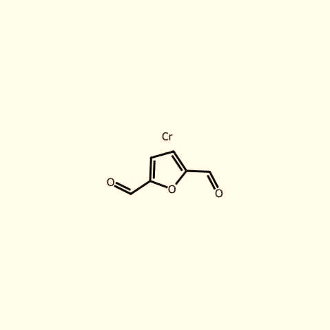 O=Cc1ccc(C=O)o1.[Cr]